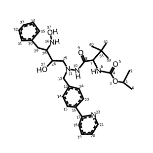 CC(C)OC(=O)NC(C(=O)NN(Cc1ccc(-c2ccccn2)cc1)CC(O)C(Cc1ccccc1)NO)C(C)(C)C